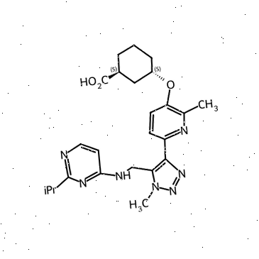 Cc1nc(-c2nnn(C)c2CNc2ccnc(C(C)C)n2)ccc1O[C@H]1CCC[C@H](C(=O)O)C1